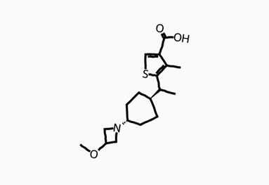 COC1CN([C@H]2CC[C@H](C(C)c3scc(C(=O)O)c3C)CC2)C1